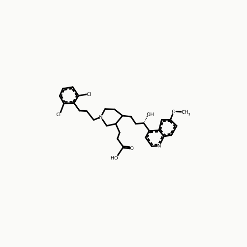 COc1ccc2nccc([C@@H](O)CCC3CCN(CCCc4c(Cl)cccc4Cl)CC3CCC(=O)O)c2c1